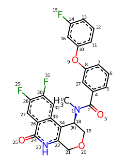 CN(C(=O)c1cccc(Oc2cccc(F)c2)c1)[C@H]1COCc2[nH]c(=O)c3cc(F)c(F)cc3c21